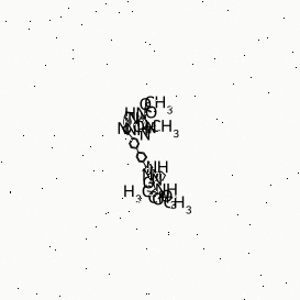 COC(=O)NC(C(=O)N1CCC[C@H]1c1ncc(-c2ccc(-c3ccc(-c4cnc([C@@H]5CCCN5C(=O)[C@H](Cc5cncn5C)NC(=O)OC)[nH]4)cc3)cc2)[nH]1)C(C)C